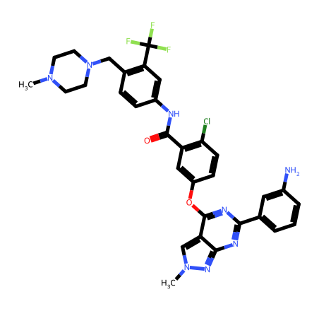 CN1CCN(Cc2ccc(NC(=O)c3cc(Oc4nc(-c5cccc(N)c5)nc5nn(C)cc45)ccc3Cl)cc2C(F)(F)F)CC1